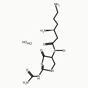 CCN(C(=O)C[C@@H](N)CCCN)C1CNC(NC(N)=O)=NC1=O.Cl.Cl